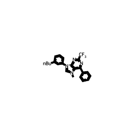 CCCCc1cccc(-[n+]2cn(C)c3c(-c4ccccc4)nc(C(F)(F)F)nc32)c1